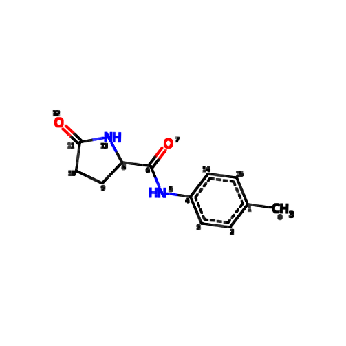 Cc1ccc(NC(=O)C2CCC(=O)N2)cc1